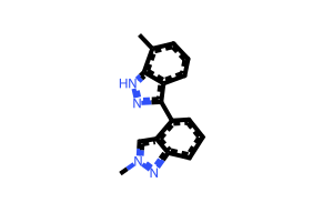 Cc1cccc2c(-c3cccc4nn(C)cc34)n[nH]c12